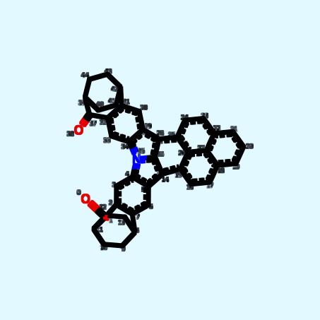 O=C1c2cc3c(cc2C2CCC1CC2)c1c2ccc4cccc5ccc(c2c45)c2c4cc5c(cc4n3c12)C(=O)C1CCC5CC1